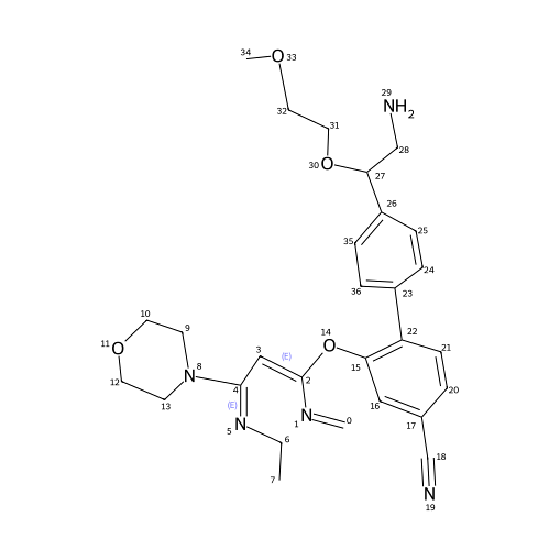 C=N/C(=C\C(=N/CC)N1CCOCC1)Oc1cc(C#N)ccc1-c1ccc(C(CN)OCCOC)cc1